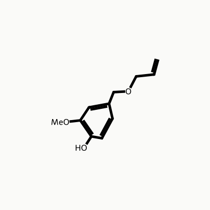 C=CCOCc1ccc(O)c(OC)c1